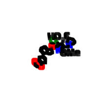 COc1nc(O[C@H]2CCc3c(-c4ccc5c(c4)OCCO5)cccc32)c(Cl)cc1CN1CCC[C@H](C(=O)O)C1